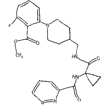 COC(=O)c1c(F)cccc1N1CCC(CNC(=O)C2(NC(=O)c3cccnn3)CC2)CC1